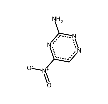 Nc1nncc([N+](=O)[O-])n1